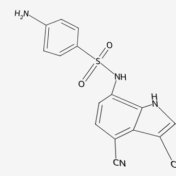 N#Cc1ccc(NS(=O)(=O)c2ccc(N)cc2)c2[nH]cc(Cl)c12